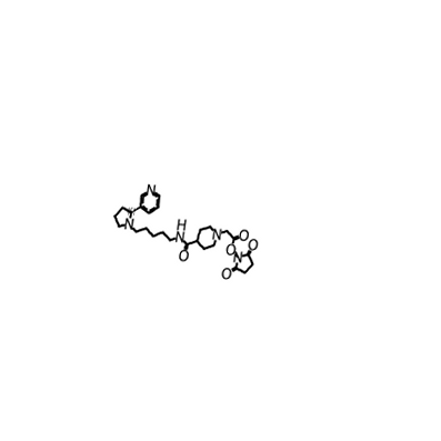 O=C(CN1CCC(C(=O)NCCCCCN2CCC[C@H]2c2cccnc2)CC1)ON1C(=O)CCC1=O